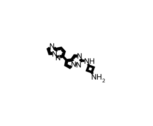 NC1CC(Nc2ncc3c(-c4ccc5nccn5n4)ccn3n2)C1